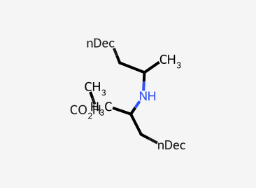 CC(=O)O.CCCCCCCCCCCC(C)NC(C)CCCCCCCCCCC